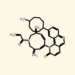 C=CC(=O)N1CC(=C)/C=C\C(n2c(=O)ccc3cnc4ccc(C5CCCC(C)CCC5)cc4c32)=C/C(=C)C1